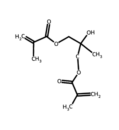 C=C(C)C(=O)OCC(C)(O)COC(=O)C(=C)C